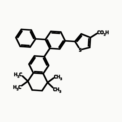 CC1(C)CCC(C)(C)c2cc(-c3cc(-c4cc(C(=O)O)cs4)ccc3-c3ccccc3)ccc21